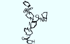 O=C(O)C[C@@H]1CCCN(c2ccc(C(=O)NC3CCCCC3)c(N3CCN(S(=O)(=O)c4ccccc4)CC3)n2)C1